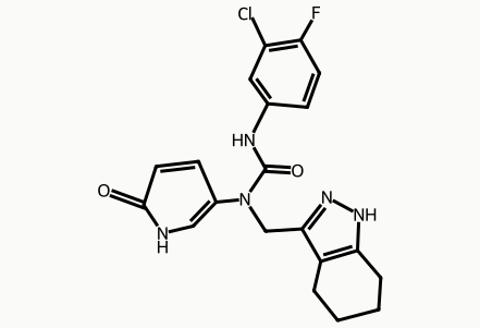 O=C(Nc1ccc(F)c(Cl)c1)N(Cc1n[nH]c2c1CCCC2)c1ccc(=O)[nH]c1